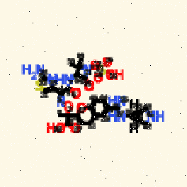 CC(ON=C(C(=O)NC1C(=O)N(OS(=O)(=O)O)C1(C)C)c1csc(N)n1)(C(=O)O)C1CCc2cc(C(=N)NC3[C@H]4CNC[C@@H]34)ccc2O1